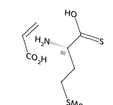 C=CC(=O)O.CSCC[C@H](N)C(O)=S